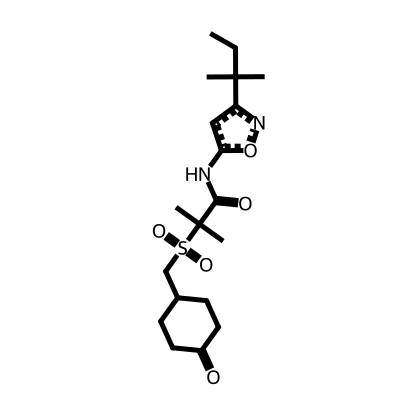 CCC(C)(C)c1cc(NC(=O)C(C)(C)S(=O)(=O)CC2CCC(=O)CC2)on1